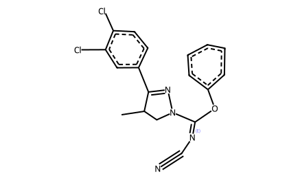 CC1CN(/C(=N\C#N)Oc2ccccc2)N=C1c1ccc(Cl)c(Cl)c1